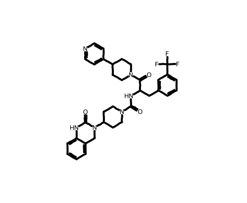 O=C(NC(Cc1cccc(C(F)(F)F)c1)C(=O)N1CCC(c2ccncc2)CC1)N1CCC(N2Cc3ccccc3NC2=O)CC1